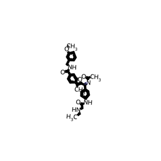 CCNCC(=O)Nc1ccc(/C(=N/C(C)=O)c2oc3cc(C(=O)NCc4cccc(OC)c4)ccc3c2C)cc1